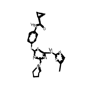 Cc1cnc(Nc2nc(Sc3ccc(NC(=O)C4CC4)cc3)nc(N3CCCC3)n2)s1